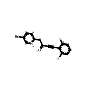 O=C(C#Cc1c(F)cccc1F)Cc1ccc(Br)cn1